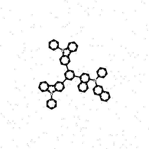 c1ccc(N(c2ccc3ccccc3c2)c2ccc(-c3cc(-c4ccc5c(c4)c4ccccc4n5-c4ccccc4)cc(-c4ccc5c(c4)c4ccccc4n5-c4ccccc4)c3)c3ccccc23)cc1